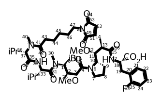 CC[C@H](C)[C@@H]([C@@H](CC(=O)N1CCC[C@H]1[C@H](OC)[C@@H](C)C(=O)N[C@@H](Cc1ccccc1F)C(=O)O)OC)N(C)C(=O)[C@@H](NC(=O)[C@H](C(C)C)N(C)C(=O)CCCCCN1C(=O)C=CC1=O)C(C)C